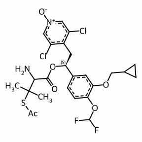 CC(=O)SC(C)(C)C(N)C(=O)O[C@@H](Cc1c(Cl)c[n+]([O-])cc1Cl)c1ccc(OC(F)F)c(OCC2CC2)c1